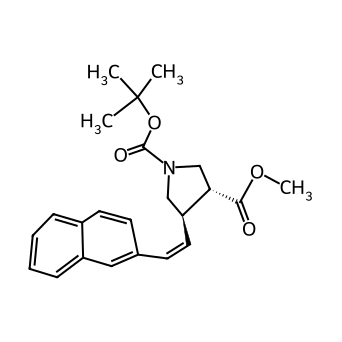 COC(=O)[C@H]1CN(C(=O)OC(C)(C)C)C[C@@H]1/C=C\c1ccc2ccccc2c1